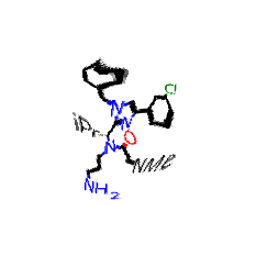 CNCC(=O)N(CCCN)[C@@H](c1nc(-c2cccc(Cl)c2)cn1Cc1ccccc1)C(C)C